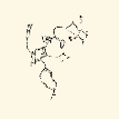 N#CCn1nc(-c2ccc(F)cc2)c(C2CCC2)c1NC(=O)C[C@H]1CC(F)(F)C1(F)F